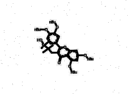 CCCCOc1cc(OCCCC)c2c(=O)c(CC(C)(C)[Si](C)(C)O)c(-c3ccc(OCCCC)c(OCCCC)c3)oc2c1